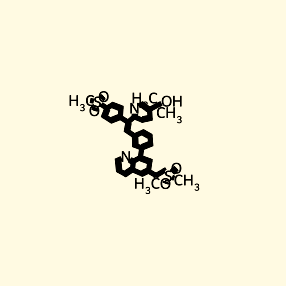 CC(CS(C)(=O)=O)c1cc(-c2cccc(/C=C(/c3ccc(S(C)(=O)=O)cc3)c3ccc(C(C)(C)O)cn3)c2)c2ncccc2c1